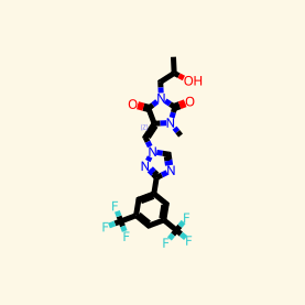 CC(O)CN1C(=O)/C(=C/n2cnc(-c3cc(C(F)(F)F)cc(C(F)(F)F)c3)n2)N(C)C1=O